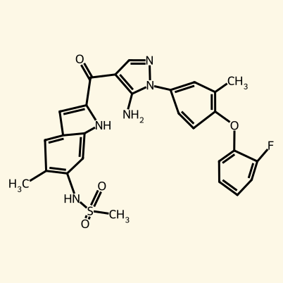 Cc1cc2cc(C(=O)c3cnn(-c4ccc(Oc5ccccc5F)c(C)c4)c3N)[nH]c2cc1NS(C)(=O)=O